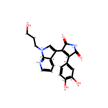 O=C1NC(=O)C(c2cn(CCCO)c3ncccc23)=C1c1ccc(O)c(O)c1